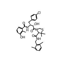 Cc1cccc(C)c1CNC(=O)C1N(C(=O)[C@@H](O)[C@H](Cc2ccc(Cl)cc2)NC(=O)c2cccc(O)c2C)CSC1(C)C